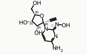 C#C[C@@]1(n2ccc(N)n/c2=N\O)O[C@H](CO)[C@@H](O)[C@H]1O